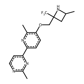 Cc1nccc(-c2ccc(OCC3(C(F)(F)F)CC(C)N3)c(C)n2)n1